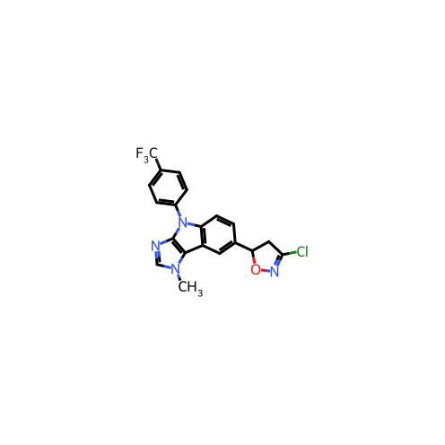 Cn1cnc2c1c1cc(C3CC(Cl)=NO3)ccc1n2-c1ccc(C(F)(F)F)cc1